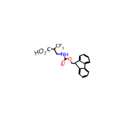 O=C(NCC(C(=O)O)C(F)(F)F)OCC1c2ccccc2-c2ccccc21